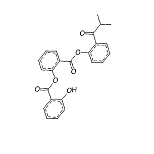 CC(C)C(=O)c1ccccc1OC(=O)c1ccccc1OC(=O)c1ccccc1O